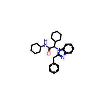 O=C(NC1CCCCC1)C(C1CCCCC1)n1c(Cc2ccccc2)nc2ccccc21